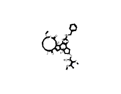 CC[C@H]1CCCC[C@@H](C)C(=O)C2=CC3C(c4nc(NCc5ccccc5)sc4C4C[C@@H](O[C@H](O)/C(OC)=C(/C)OC)C[C@H]43)[C@@H]2CC(=O)O1